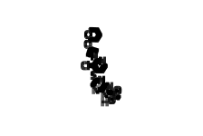 CS(=O)(=O)c1nc2nc(Sc3ccnc(N4CC(OC5CCCCO5)C4)c3Cl)cnc2[nH]1